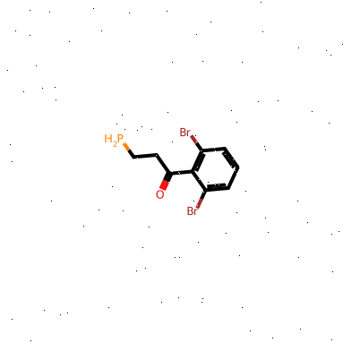 O=C(CCP)c1c(Br)cccc1Br